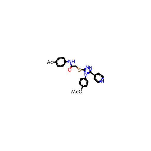 COc1ccc(-n2c(SCC(=O)Nc3ccc(C(C)=O)cc3)nnc2-c2ccncc2)cc1